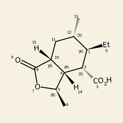 CC[C@H]1[C@H](C(=O)O)[C@@H]2[C@@H](C)OC(=O)[C@@H]2C[C@@H]1C